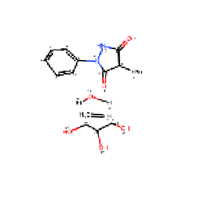 C=C.CCCCC1C(=O)NN(c2ccccc2)C1=O.CCOCC.OCC(O)CO